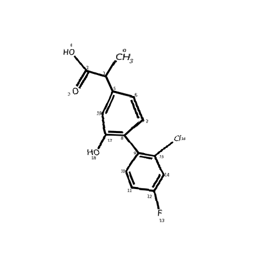 CC(C(=O)O)c1ccc(-c2ccc(F)cc2Cl)c(O)c1